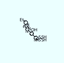 CC[C@@H]1CC[C@H](F)[C@H](N(C)c2cnc(-c3ccc(-c4cnnc(SC(S)(S)S)c4)cc3O)nn2)C1